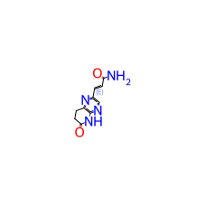 NC(=O)/C=C/c1cnc2c(n1)CCC(=O)N2